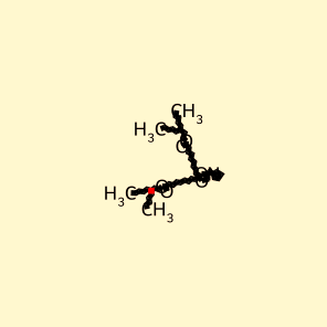 CCCCCC(CCCCC)CCOC(=O)CCCCCCCCC1(CCCCCCCCC(=O)OCCC(CCCCC)CCCCC)OCC(CN2CCCC2)O1